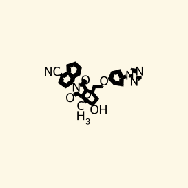 CC12OC(CCOc3ccc(-n4cncn4)cc3)(CC1O)C1C(=O)N(c3ccc(C#N)c4ccccc34)C(=O)C12